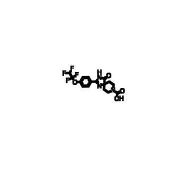 O=C(O)N1CCC2(CC1)N=C(c1ccc(OC(F)(F)C(F)F)cc1)NC2=O